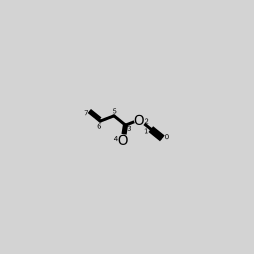 C#COC(=O)CC=C